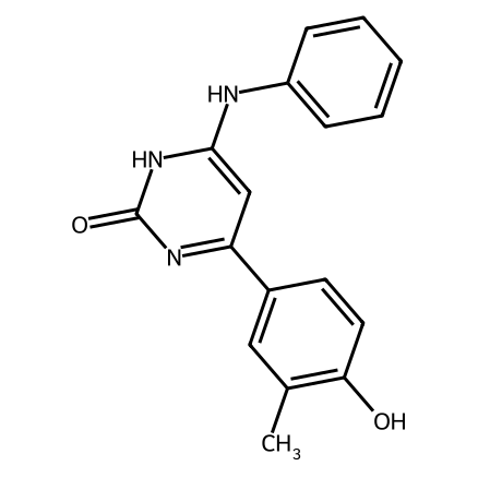 Cc1cc(-c2cc(Nc3ccccc3)[nH]c(=O)n2)ccc1O